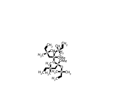 C=C[Si](C)(C)C[Si](OC)(O[Si](C)(C)C=C)O[Si](C[Si](C)(C)C=C)(OC)O[Si](C)(C)C=C